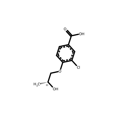 C[C@@H](O)COc1ccc(C(=O)O)cc1Cl